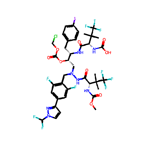 COC(=O)N[C@H](C(=O)NN(Cc1c(F)cc(-c2ccn(C(F)F)n2)cc1F)C[C@H](OC(=O)OCCl)[C@H](Cc1ccc(I)cc1)NC(=O)[C@@H](NC(=O)O)C(C)(C)C(F)(F)F)C(C)(C)C(F)(F)F